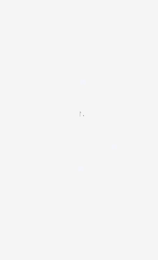 C=C/C=C(\C=C/C)Cn1c2c3c(/c1=C/C)=CC=CC3CC=C2